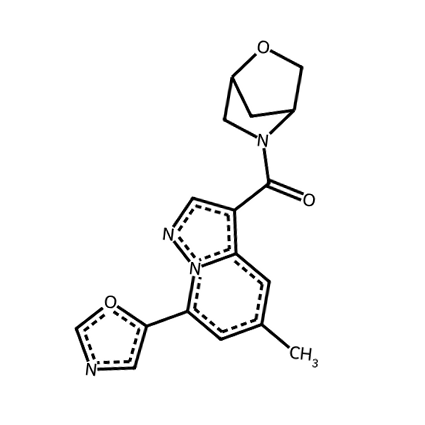 Cc1cc(-c2cnco2)n2ncc(C(=O)N3CC4CC3CO4)c2c1